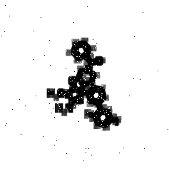 CN1C(=O)C(c2cccc(-c3cc(F)ccc3F)c2)(C2CCN(C(=O)c3ccccc3)CC2)N=C1N